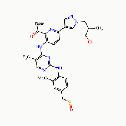 CNC(=O)c1nc(-c2cnn(C[C@@H](C)CO)c2)ccc1Nc1nc(Nc2ccc(CP=O)cc2OC)ncc1C(F)(F)F